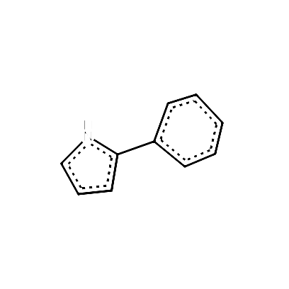 [c]1ccc(-c2ccc[nH]2)cc1